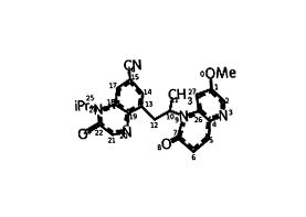 COc1cnc2ccc(=O)n(C(C)Cc3cc(C#N)cc4c3ncc(=O)n4C(C)C)c2c1